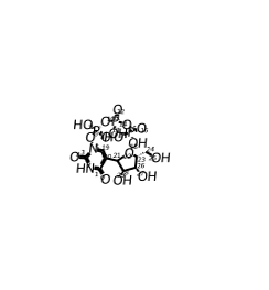 O=c1[nH]c(=O)n(OP(=O)(O)OP(=O)(O)OP(=O)(O)O)cc1C1O[C@H](CO)[C@@H](O)[C@H]1O